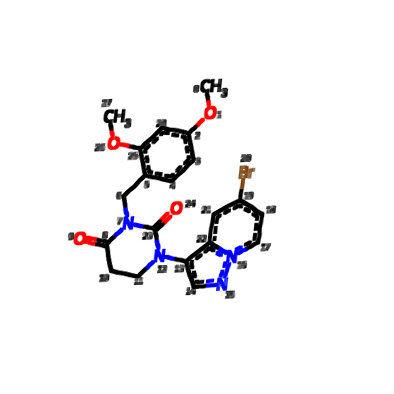 COc1ccc(CN2C(=O)CCN(c3cnn4ccc(Br)cc34)C2=O)c(OC)c1